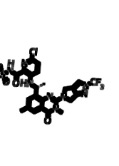 Cc1cc([C@@H](C)Nc2ccc(Cl)nc2C(=O)NS(C)(=O)=O)c2nc(N3Cc4cn(C(F)(F)F)nc4C3)n(C)c(=O)c2c1